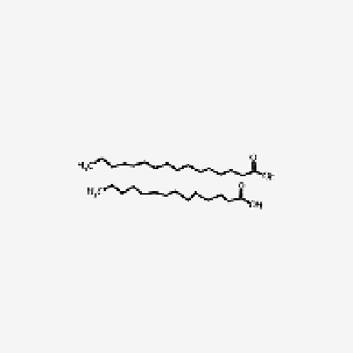 CCCCCCCCCCCCCC(=O)O.CCCCCCCCCCCCCCCC(=O)O